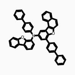 c1ccc(-c2ccc(-c3cc(N(c4ccc(-c5ccccc5)cc4)c4cccc5c4oc4ccccc45)cc4c3oc3ccc5ccccc5c34)cc2)cc1